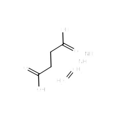 C=C.N.N.O=C(O)CCC(=O)O